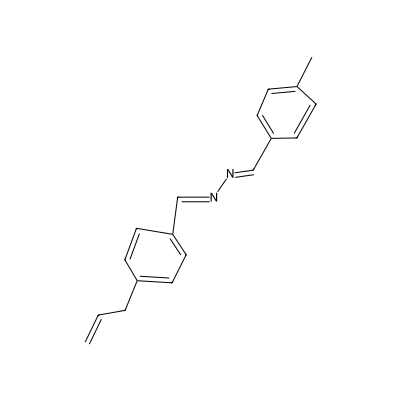 C=CCc1ccc(/C=N/N=C/c2ccc(C)cc2)cc1